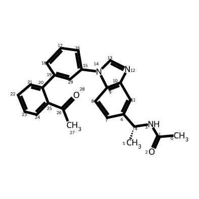 CC(=O)N[C@H](C)c1ccc2c(c1)ncn2-c1cccc(-c2ccccc2C(C)=O)c1